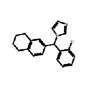 Clc1ccccc1C(c1ccc2c(c1)CCCC2)n1ccnc1